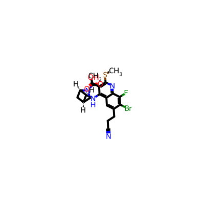 CSc1nc2c(F)c(Br)c(CCC#N)cc2c(N[C@H]2[C@@H]3C[C@H]2N(C(=O)O)C3)c1C(C)=O